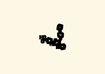 O=C(Nc1nc2ccccc2n1CCN1CCN(c2ccccc2)CC1)C1CCN(C(=O)O)CC1